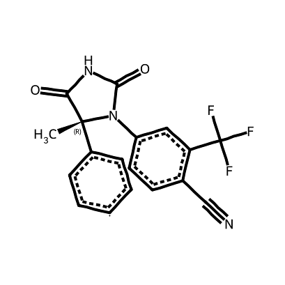 C[C@@]1(c2cc[c]cc2)C(=O)NC(=O)N1c1ccc(C#N)c(C(F)(F)F)c1